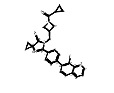 O=C(C1CC1)N1CC(CN2C(=O)C3(CC3)N=C2c2ccc(-c3ccc4cccnc4c3F)cc2)C1